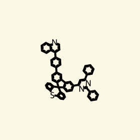 c1ccc(-c2cc(-c3ccc4c(c3)-c3cc(-c5ccc(-c6ccnc7ccccc67)cc5)ccc3C43c4ccccc4Sc4ccccc43)nc(-c3ccccc3)n2)cc1